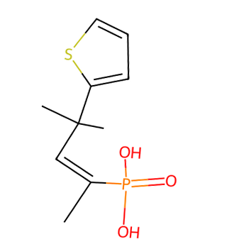 C/C(=C/C(C)(C)c1cccs1)P(=O)(O)O